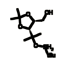 CC1(C)O[C@@H](C(C)(C)O[SiH2]C(C)(C)C)[C@@H](CO)O1